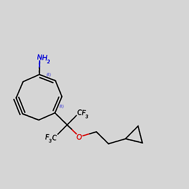 N/C1=C/C=C(/C(OCCC2CC2)(C(F)(F)F)C(F)(F)F)CC#CC1